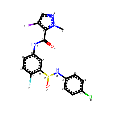 Cn1ncc(I)c1C(=O)Nc1ccc(F)c([S+]([O-])Nc2ccc(Cl)cc2)c1